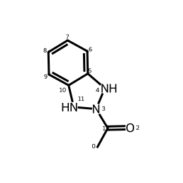 CC(=O)N1Nc2ccccc2N1